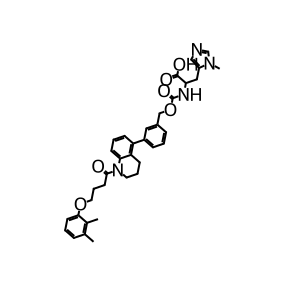 Cc1cccc(OCCCC(=O)N2CCCc3c(-c4cccc(COC(=O)NC(Cc5cncn5C)C(=O)O)c4)cccc32)c1C